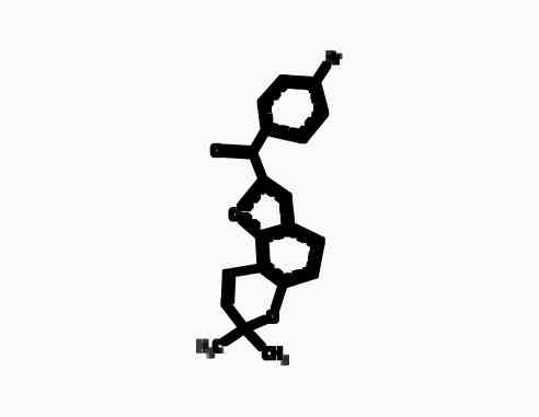 CC1(C)C=Cc2c(ccc3cc(C(=O)c4ccc(Br)cc4)oc23)O1